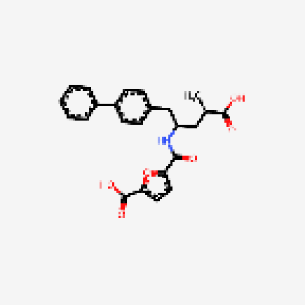 C[C@H](CC(Cc1ccc(-c2ccccc2)cc1)NC(=O)c1ccc(C(=O)O)o1)C(=O)O